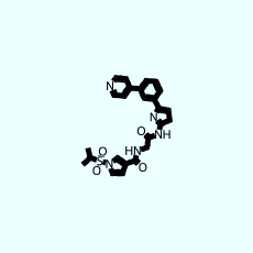 CC(C)S(=O)(=O)n1ccc(C(=O)NCC(=O)NC2=NC(c3cccc(-c4ccncc4)c3)=CC2)c1